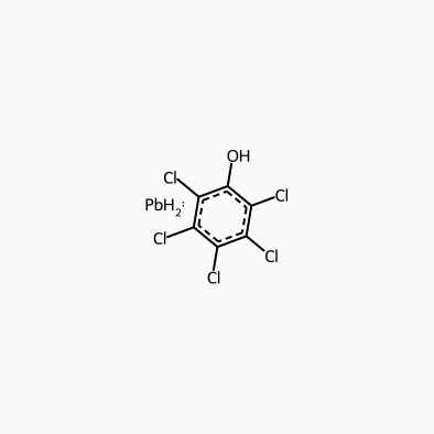 Oc1c(Cl)c(Cl)c(Cl)c(Cl)c1Cl.[PbH2]